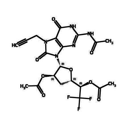 C#CCn1c(=O)n([C@@H]2O[C@H]([C@@H](OC(C)=O)C(F)(F)F)C[C@H]2OC(C)=O)c2nc(NC(C)=O)[nH]c(=O)c21